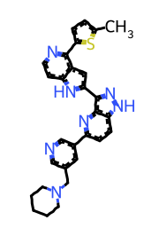 Cc1ccc(-c2nccc3[nH]c(-c4n[nH]c5ccc(-c6cncc(CN7CCCCC7)c6)nc45)cc23)s1